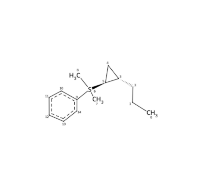 CCC[C@H]1C[C@@H]1S(C)(C)c1ccccc1